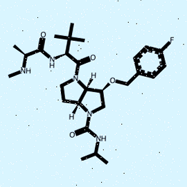 CN[C@@H](C)C(=O)N[C@H](C(=O)N1CC[C@@H]2[C@H]1[C@@H](OCc1ccc(F)cc1)CN2C(=O)NC(C)C)C(C)(C)C